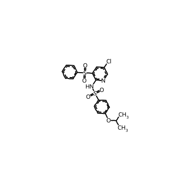 CC(C)Oc1ccc(S(=O)(=O)Nc2ncc(Cl)cc2S(=O)(=O)c2ccccc2)cc1